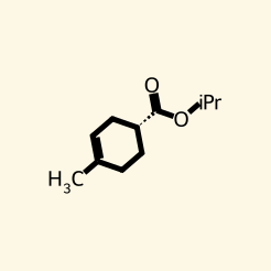 CC1=CC[C@H](C(=O)OC(C)C)CC1